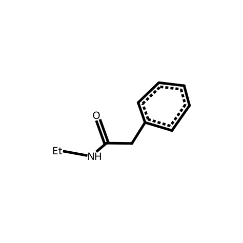 [CH2]CNC(=O)Cc1ccccc1